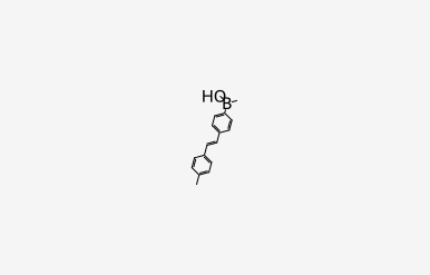 CB(O)c1ccc(/C=C/c2ccc(C)cc2)cc1